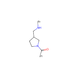 CC(C)NCC1CCN(C(=O)C(C)C)C1